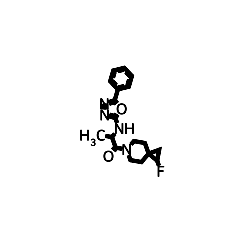 CC(Nc1nnc(-c2ccccc2)o1)C(=O)N1CCC2(CC1)CC2F